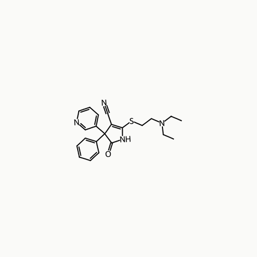 CCN(CC)CCSC1=C(C#N)C(c2ccccc2)(c2cccnc2)C(=O)N1